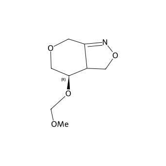 COCO[C@H]1COCC2=NOCC21